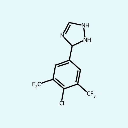 FC(F)(F)c1cc(C2N=CNN2)cc(C(F)(F)F)c1Cl